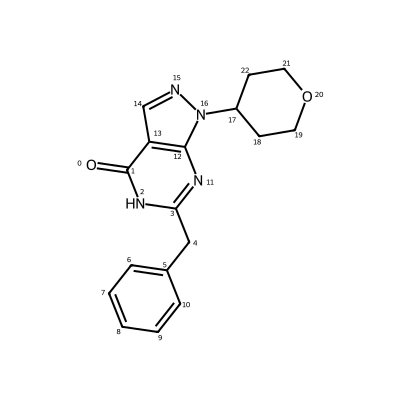 O=c1[nH]c(Cc2ccccc2)nc2c1cnn2C1CCOCC1